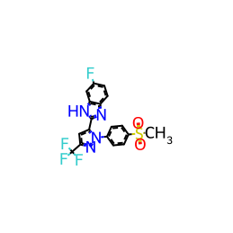 CS(=O)(=O)c1ccc(-n2nc(C(F)(F)F)cc2-c2nc3ccc(F)cc3[nH]2)cc1